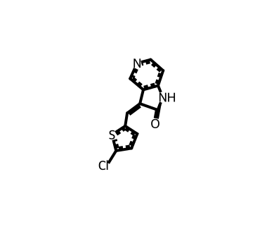 O=C1Nc2ccncc2C1=Cc1ccc(Cl)s1